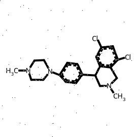 CN1CCN(c2ccc(C3CN(C)Cc4c(Cl)cc(Cl)cc43)cc2)CC1